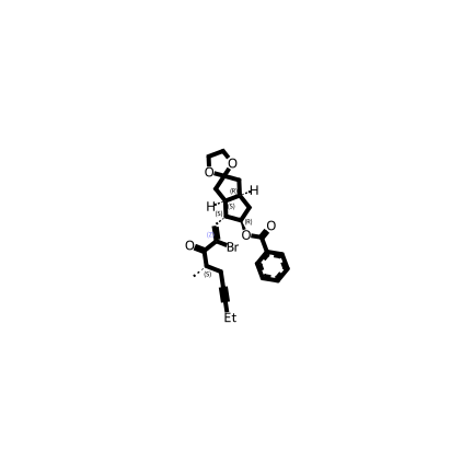 CCC#CC[C@H](C)C(=O)/C(Br)=C/[C@@H]1[C@H]2CC3(C[C@H]2C[C@H]1OC(=O)c1ccccc1)OCCO3